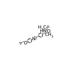 C[C@H](NC(=O)C1(C)CC1)c1ccc(C2CN(c3ccc(OCC4CC4)cc3)C2)cc1